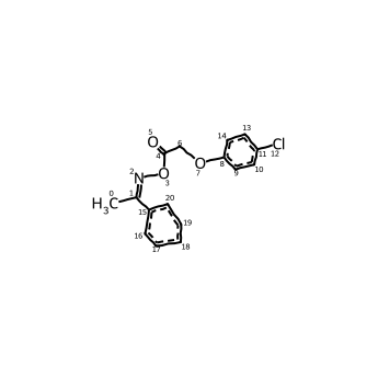 CC(=NOC(=O)COc1ccc(Cl)cc1)c1ccccc1